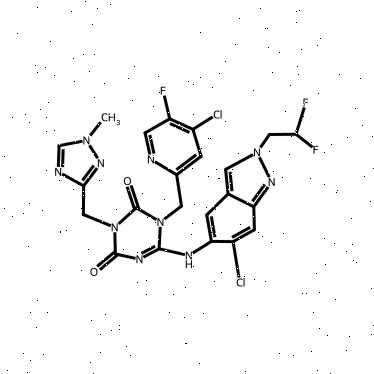 Cn1cnc(Cn2c(=O)nc(Nc3cc4cn(CC(F)F)nc4cc3Cl)n(Cc3cc(Cl)c(F)cn3)c2=O)n1